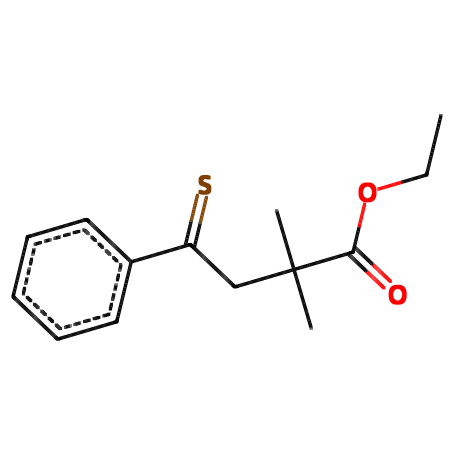 CCOC(=O)C(C)(C)CC(=S)c1ccccc1